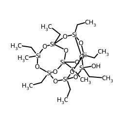 CC[Si]1(C)O[Si]2(CC)O[Si]3(CC)O[Si](O)(CC)O[Si]4(CC)O[Si](CC)(O1)O[Si](CC)(O2)O[Si](CC)(O3)O4